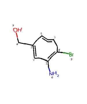 Nc1cc(CO)ccc1Br